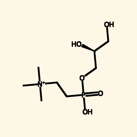 C[N+](C)(C)CCP(=O)(O)OC[C@@H](O)CO